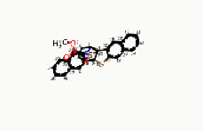 COC(=O)N1C2CCC1[C@]13Sc4cc5ccccc5cc4[C@]21Sc1cc2ccccc2cc13